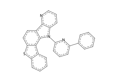 c1ccc(-c2cccc(-n3c4cccnc4c4ccc5sc6ccccc6c5c43)n2)cc1